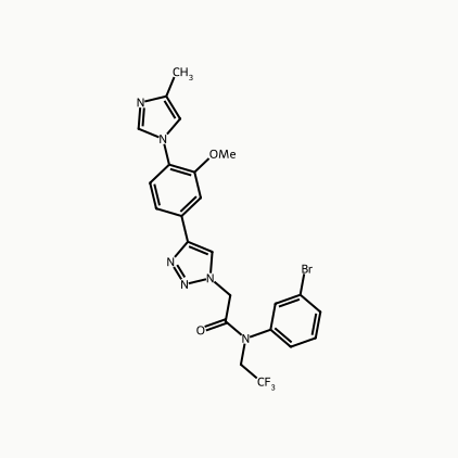 COc1cc(-c2cn(CC(=O)N(CC(F)(F)F)c3cccc(Br)c3)nn2)ccc1-n1cnc(C)c1